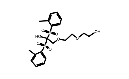 Cc1ccccc1S(=O)(=O)C(O)(COCCOCCO)S(=O)(=O)c1ccccc1C